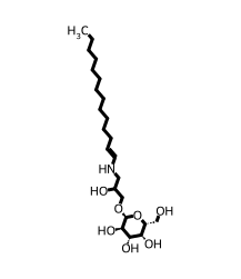 CCCCCCCCCCCCC=CNCC(O)CO[C@H]1O[C@H](CO)[C@H](O)[C@H](O)[C@H]1O